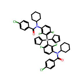 O=C(c1ccc(Cl)cc1)N(c1ccc(F)[c]([Ti]([C]2=CC=CC2)([C]2=CC=CC2)[c]2c(F)ccc(N(C(=O)c3ccc(Cl)cc3)C3CCCCC3)c2F)c1F)C1CCCCC1